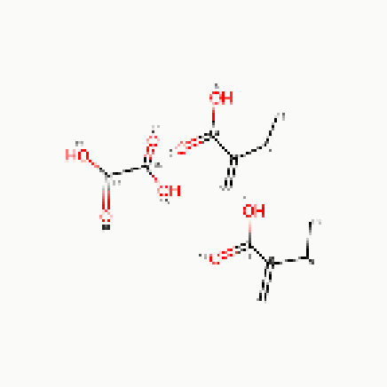 C=C(CC)C(=O)O.C=C(CC)C(=O)O.O=C(O)C(=O)O